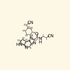 N#CCCNC(=O)c1nc2cnc3[nH]ccc3c2n1C1CCC(CC#N)CC1